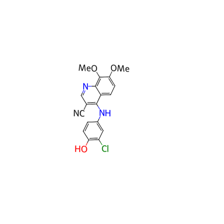 COc1ccc2c(Nc3ccc(O)c(Cl)c3)c(C#N)cnc2c1OC